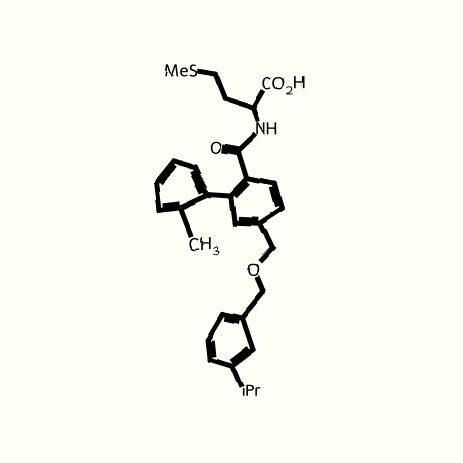 CSCCC(NC(=O)c1ccc(COCc2cccc(C(C)C)c2)cc1-c1ccccc1C)C(=O)O